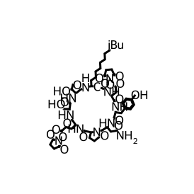 CCC(C)CCCCCCCCC1CC(=O)NC(CC(=O)ON2C(=O)CCC2=O)C(=O)NC(Cc2ccc(O)cc2)C(=O)NC(CC(N)=O)C(=O)N2CCCC2C(=O)NC(CCC(=O)ON2C(=O)CCC2=O)C(=O)NC(CO)C(=O)NC(C(C)O)C(=O)N1